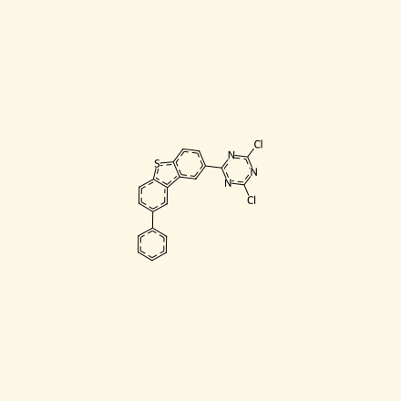 Clc1nc(Cl)nc(-c2ccc3sc4ccc(-c5ccccc5)cc4c3c2)n1